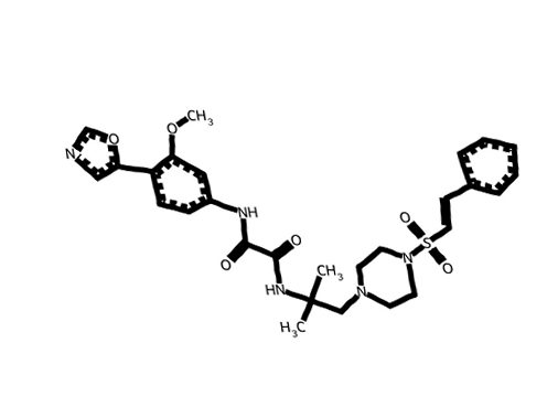 COc1cc(NC(=O)C(=O)NC(C)(C)CN2CCN(S(=O)(=O)C=Cc3ccccc3)CC2)ccc1-c1cnco1